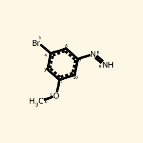 COc1cc(Br)cc(N=N)c1